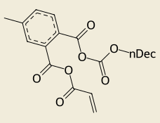 C=CC(=O)OC(=O)c1cc(C)ccc1C(=O)OC(=O)OCCCCCCCCCC